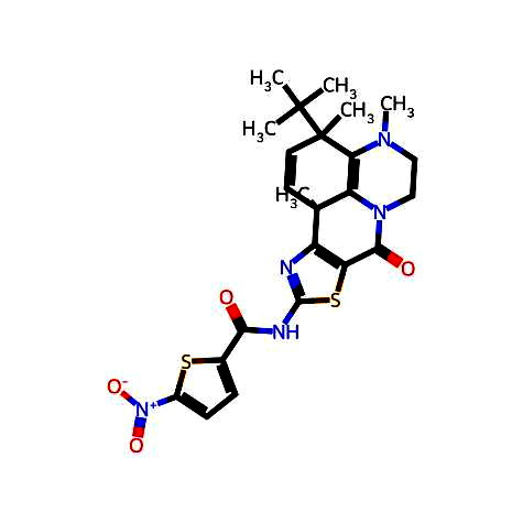 CN1CCN2C(=O)c3sc(NC(=O)c4ccc([N+](=O)[O-])s4)nc3C3(C)C=CC(C)(C(C)(C)C)C1=C23